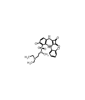 CCN(CC)CCN(C)S(=O)(=O)c1c(Cl)ccc(Nc2c(Nc3ccccc3Cl)c(=O)c2=O)c1O